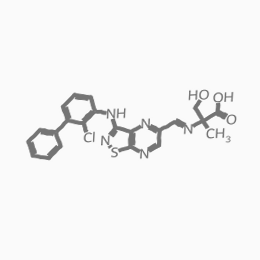 CC(CO)(N=Cc1cnc2snc(Nc3cccc(-c4ccccc4)c3Cl)c2n1)C(=O)O